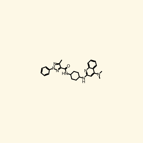 Cc1nn(-c2ccccc2)nc1C(=O)NC1CCC(Nc2cc(N(C)C)c3ccccc3n2)CC1